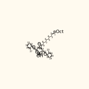 CCCCCCCCC=CCCCCCCCC(=O)N1CC(COc2ccccc2C)OB(O)OC(COc2ccccc2C)C1